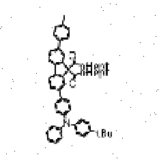 CCCCCCCC(=O)C1(C(=O)CCCCCCC)c2cc(-c3ccc(C)cc3)ccc2-c2ccc(-c3ccc(N(c4ccccc4)c4ccc(C(C)(C)C)cc4)cc3)cc21